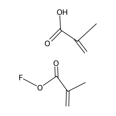 C=C(C)C(=O)O.C=C(C)C(=O)OF